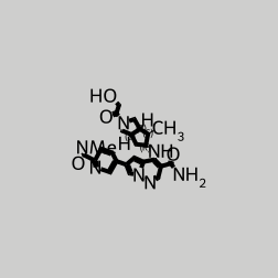 CNC(=O)c1ccc(-c2cc3c(N[C@@H]4C[C@@H]5CN(C(=O)CO)C[C@H]5[C@@H]4C)c(C(N)=O)cnn3c2)cn1